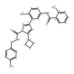 Cc1ccc(CNC(=O)n2nc(-c3cc(NC(=O)c4ccccc4C)ccc3O)cc2C2CCC2)cc1